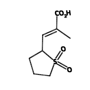 CC(=CC1CCCS1(=O)=O)C(=O)O